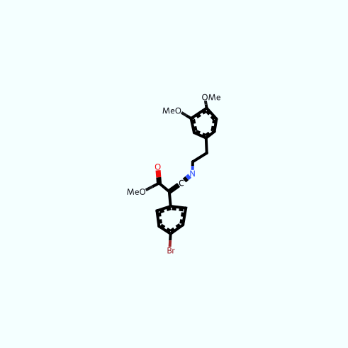 COC(=O)C(=C=NCCc1ccc(OC)c(OC)c1)c1ccc(Br)cc1